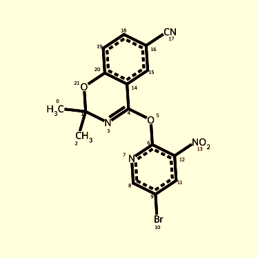 CC1(C)N=C(Oc2ncc(Br)cc2[N+](=O)[O-])c2cc(C#N)ccc2O1